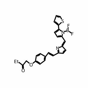 CCC(=O)COc1ccc(/C=C/C2=NC(=C\c3ccc(-c4cccs4)n3B(F)F)/C=C2)cc1